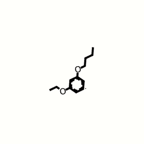 CCCCOc1c[c]cc(OCC)c1